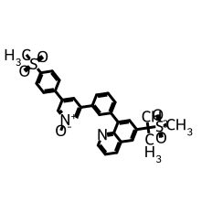 CC(C)(c1cc(-c2cccc(-c3cc(-c4ccc(S(C)(=O)=O)cc4)c[n+]([O-])c3)c2)c2ncccc2c1)S(C)(=O)=O